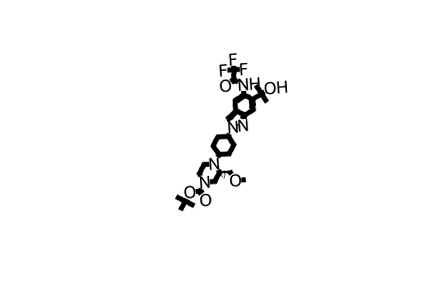 COC[C@H]1CN(C(=O)OC(C)(C)C)CCN1C1CCC(n2cc3cc(NC(=O)C(F)(F)F)c(C(C)(C)O)cc3n2)CC1